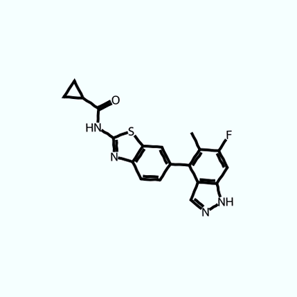 Cc1c(F)cc2[nH]ncc2c1-c1ccc2nc(NC(=O)C3CC3)sc2c1